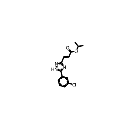 CC(C)OC(=O)C=Cc1n[nH]c(-c2cccc(Cl)c2)n1